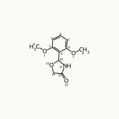 COc1cccc(OC)c1C1NC(=O)CO1